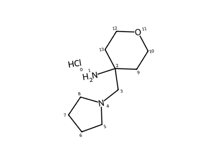 Cl.NC1(CN2CCCC2)CCOCC1